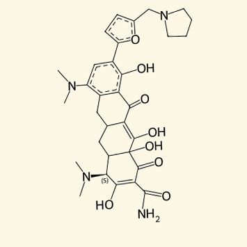 CN(C)c1cc(-c2ccc(CN3CCCC3)o2)c(O)c2c1CC1CC3[C@H](N(C)C)C(O)=C(C(N)=O)C(=O)C3(O)C(O)=C1C2=O